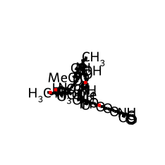 C/C=C/C1=CN2C(=O)c3cc(OC)c(OCCCOc4cc5c(cc4OC)C(=O)N4C=C(/C=C/C)C[C@H]4[C@H](O)N5C(=O)OCc4ccc(NC(=O)[C@H](C)NC(=O)[C@@H](NC(=O)CCOCCOCCOCCOCCNC(=O)CC5CCCCCCCC5)C(C)C)cc4)cc3N=C[C@@H]2C1